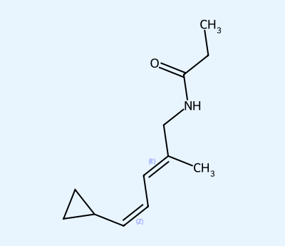 CCC(=O)NC/C(C)=C/C=C\C1CC1